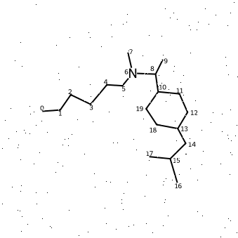 CCCCCCN(C)C(C)C1CCC(CC(C)C)CC1